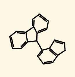 [c]1ccc2c(c1)-c1ccccc1C2c1cccc2c1C=CC2